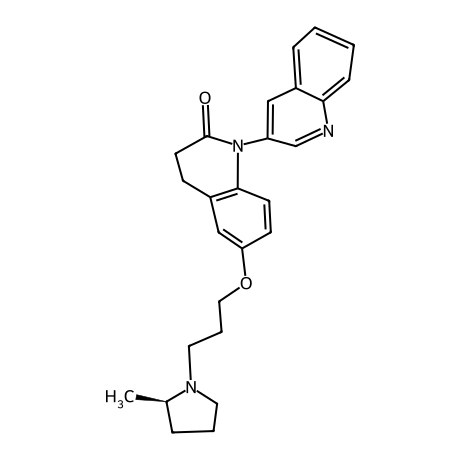 C[C@@H]1CCCN1CCCOc1ccc2c(c1)CCC(=O)N2c1cnc2ccccc2c1